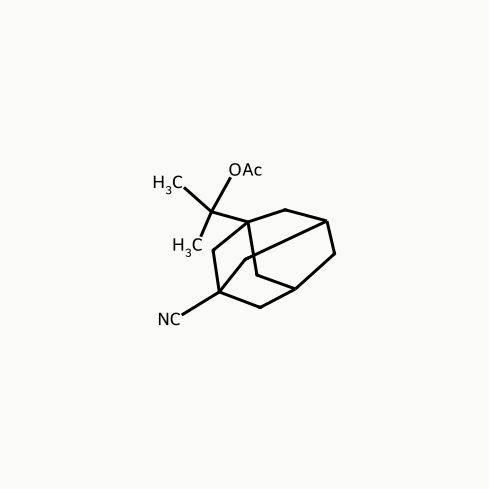 CC(=O)OC(C)(C)C12CC3CC(CC(C#N)(C3)C1)C2